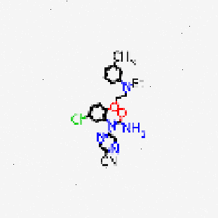 CCN(CCOc1ccc(Cl)cc1N(C(N)=O)c1cnc(C#N)cn1)c1cccc(C)c1